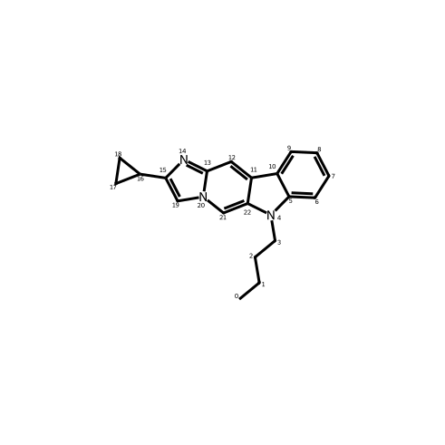 CCCCn1c2ccccc2c2cc3nc(C4CC4)cn3cc21